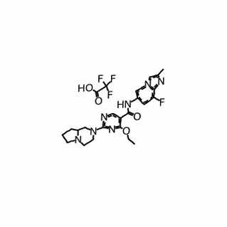 CCOc1nc(N2CCN3CCCC3C2)ncc1C(=O)Nc1cc(F)c2nc(C)cn2c1.O=C(O)C(F)(F)F